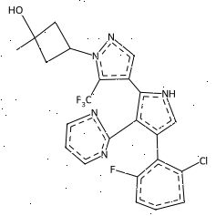 CC1(O)CC(n2ncc(-c3[nH]cc(-c4c(F)cccc4Cl)c3-c3ncccn3)c2C(F)(F)F)C1